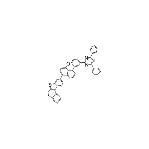 c1ccc(-c2nc(-c3ccccc3)nc(-c3ccc4c(c3)-c3cccc5c(-c6ccc7c(c6)sc6ccc8ccccc8c67)ccc(c35)O4)n2)cc1